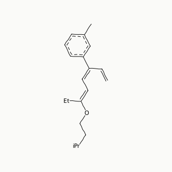 C=C/C(=C\C=C(/CC)OCCC(C)C)c1cccc(C)c1